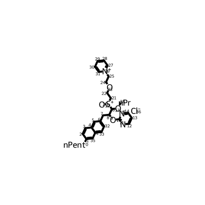 CCCCCc1ccc2cc(CC(Oc3ncccn3)C(OCCC)[S+]([O-])CCOCC[n+]3ccccc3)ccc2c1.[Cl-]